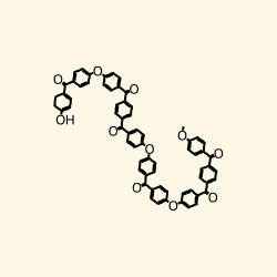 COc1ccc(C(=O)c2ccc(C(=O)c3ccc(Oc4ccc(C(=O)c5ccc(Oc6ccc(C(=O)c7ccc(C(=O)c8ccc(Oc9ccc(C(=O)C%10=CC=C(O)CC%10)cc9)cc8)cc7)cc6)cc5)cc4)cc3)cc2)cc1